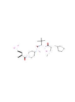 CN(C(=O)[C@@H](NC(=O)[C@H](CC1CCCC1)CN(O)C=O)C(C)(C)C)C1CCN(C(=O)c2csc([N+](=O)[O-])c2)CC1